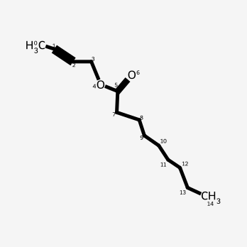 CC#CCOC(=O)CCCCCCCC